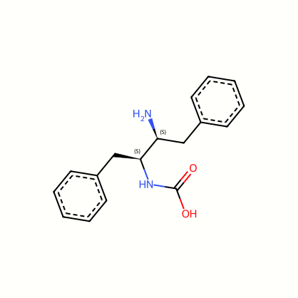 N[C@@H](Cc1ccccc1)[C@H](Cc1ccccc1)NC(=O)O